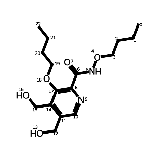 CCCCONC(=O)c1ncc(CO)c(CO)c1OCCCC